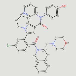 O=C(c1cc(-c2cc(Cl)ccc2C(=O)N2Cc3ccccc3C[C@H]2CN2CCOCC2)n2c1CCCC2)N(c1ccc(O)cc1)c1cccnc1